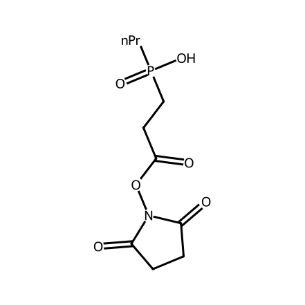 CCCP(=O)(O)CCC(=O)ON1C(=O)CCC1=O